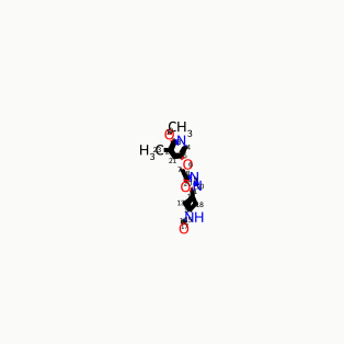 COc1ncc(OCc2nnc(C34CC(NC=O)(C3)C4)o2)cc1C